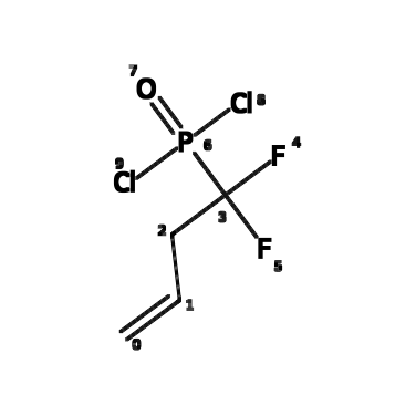 C=CCC(F)(F)P(=O)(Cl)Cl